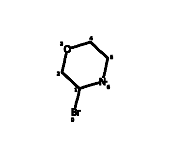 BrC1COCC[N]1